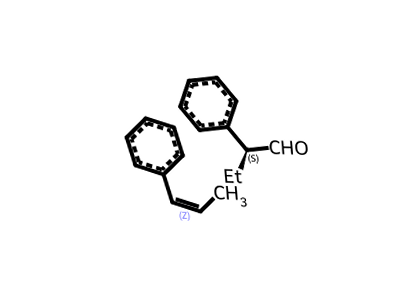 C/C=C\c1ccccc1.CC[C@H](C=O)c1ccccc1